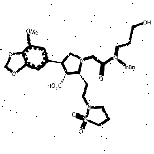 CCCCN(CCCO)C(=O)CN1C[C@H](c2cc(OC)c3c(c2)OCO3)[C@@H](C(=O)O)[C@@H]1CCN1CCCS1(=O)=O